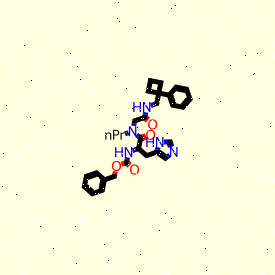 CCCN(CC(=O)NCC1(c2ccccc2)CCC1)C(=O)C(Cc1cnc[nH]1)NC(=O)OCc1ccccc1